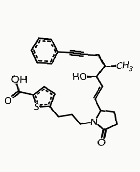 C[C@H](CC#Cc1ccccc1)[C@H](O)C=CC1CCC(=O)N1CCCc1ccc(C(=O)O)s1